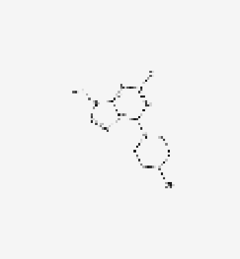 CCn1cnc2c(N3CCC(O)CC3)nc(Cl)nc21